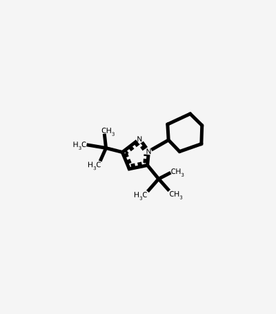 CC(C)(C)c1cc(C(C)(C)C)n(C2CCCCC2)n1